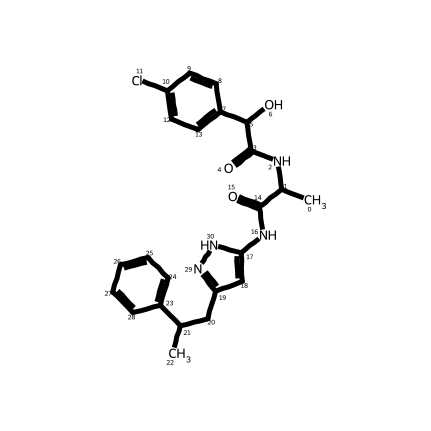 CC(NC(=O)C(O)c1ccc(Cl)cc1)C(=O)Nc1cc(CC(C)c2ccccc2)n[nH]1